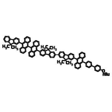 CCCCOc1ccc(-c2ccc(-c3c4ccccc4c(-c4ccc5c(c4)C(C)(C)c4cc(-c6ccc7c(c6)C(C)(C)c6cc(-c8c9ccccc9c(-c9c%10ccccc%10c(-c%10ccc%11c(c%10)C(C)(C)c%10ccccc%10-%11)c%10ccccc9%10)c9ccccc89)ccc6-7)ccc4-5)c4ccccc34)cc2)cc1